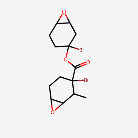 CC1C2OC2CCC1(Br)C(=O)OC1(Br)CCC2OC2C1